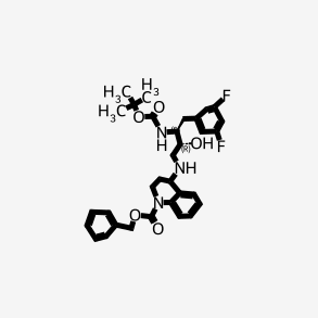 CC(C)(C)OC(=O)N[C@@H](Cc1cc(F)cc(F)c1)[C@H](O)CNC1CCN(C(=O)OCc2ccccc2)c2ccccc21